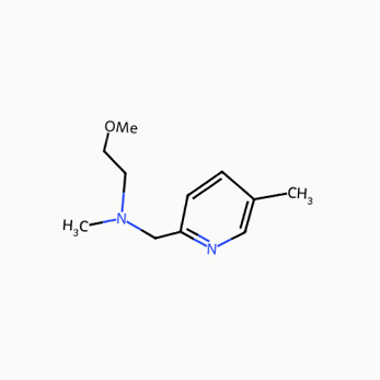 COCCN(C)Cc1ccc(C)cn1